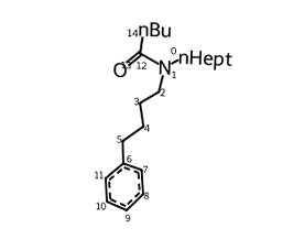 CCCCCCCN(CCCCc1ccccc1)C(=O)CCCC